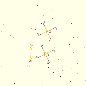 C[P+](C)(C)C.C[P+](C)(C)C.[S-][S-]